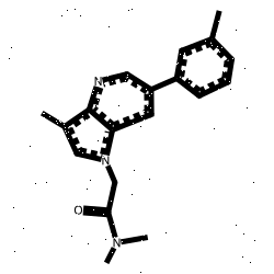 Cc1cccc(-c2cnc3c(C)cn(CC(=O)N(C)C)c3c2)c1